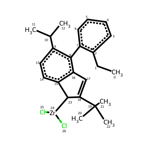 CCc1ccccc1-c1c(C(C)C)ccc2c1C=C(C(C)(C)C)[CH]2[Zr]([Cl])[Cl]